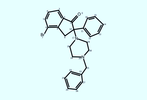 O=C1c2cccc(Br)c2CC1(c1ccccc1)N1CCN(Cc2ccccc2)CC1